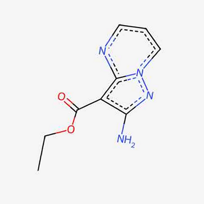 CCOC(=O)c1c(N)nn2cccnc12